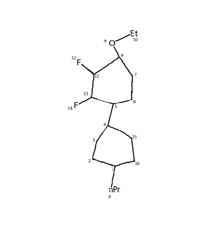 CCCC1CCC(C2CCC(OCC)C(F)C2F)CC1